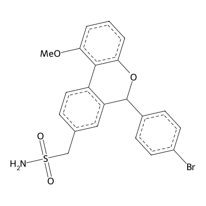 COc1cccc2c1-c1ccc(CS(N)(=O)=O)cc1C(c1ccc(Br)cc1)O2